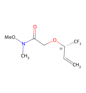 C=C[C@H](OCC(=O)N(C)OC)C(F)(F)F